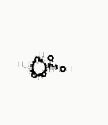 Cc1ccc(NC(=O)N[C@@H](Cc2ccccc2)C(=O)N[C@H]2COC(=O)[C@@H]3C[C@H](C)CN3C(=O)[C@H](C)NC(=O)[C@@H]3CCCCN3C(=O)[C@@H]3CCCN3C2=O)cc1